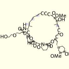 CO[C@@H]1C[C@H](CC[C@@H]2CC(=O)C/C=C(\C)[C@@H](O)[C@@H](OC)C(=O)CCC/C=C/C=C/C=C(\C)C(NS(=O)(=O)CCOCCO)C[C@@H]3CC[C@@H](C)[C@@](O)(O3)C(=O)C(=O)N3CCCC[C@H]3C(=O)O2)CC[C@H]1O